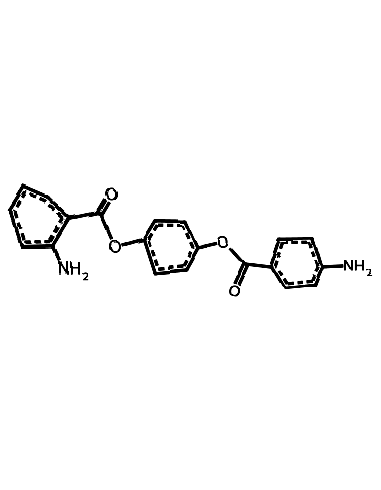 Nc1ccc(C(=O)Oc2ccc(OC(=O)c3ccccc3N)cc2)cc1